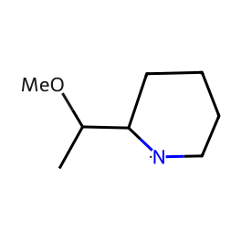 COC(C)C1CCCC[N]1